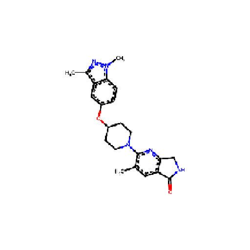 Cc1cc2c(nc1N1CCC(Oc3ccc4c(c3)c(C)nn4C)CC1)CNC2=O